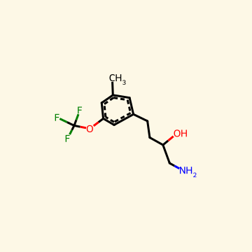 Cc1cc(CCC(O)CN)cc(OC(F)(F)F)c1